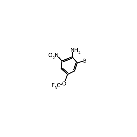 Nc1c(Br)cc(OC(F)(F)F)cc1[N+](=O)[O-]